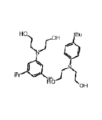 CC(C)(C)c1ccc(N(CCO)CCO)cc1.CC(C)c1cc(C(C)C)cc(N(CCO)CCO)c1